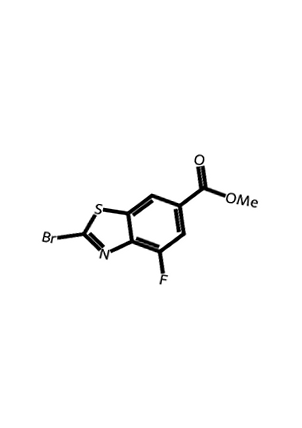 COC(=O)c1cc(F)c2nc(Br)sc2c1